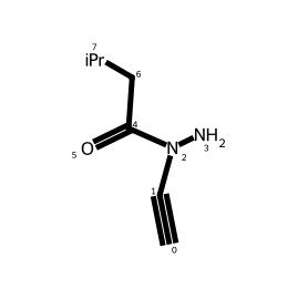 C#CN(N)C(=O)CC(C)C